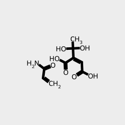 C=CC(N)=O.CC(O)(O)/C(=C/C(=O)O)C(=O)O